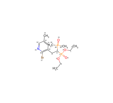 CCOP(=O)(OCC)C(Cc1cc(C)cnc1Br)P(C)(C)=O